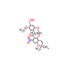 COc1cc2c(cc1CO)OC[C@H]1Oc3c4c(cc([N+](=O)[O-])c3C(=O)[C@@H]21)OC(C)(C)C=C4